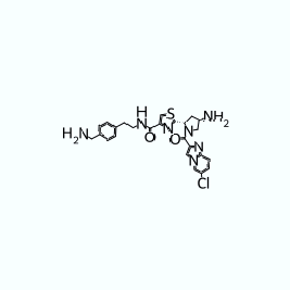 NCc1ccc(CCNC(=O)c2csc([C@@H]3C[C@@H](N)CN3C(=O)c3cn4cc(Cl)ccc4n3)n2)cc1